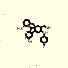 Cc1cccc(CC2(C(=O)c3ccccn3)CC(C=N)=C(Nc3ccc(F)cc3)C=C2CCNS)c1